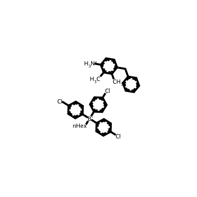 CCCCCC[B-](c1ccc(Cl)cc1)(c1ccc(Cl)cc1)c1ccc(Cl)cc1.Cc1c([NH3+])ccc(Cc2ccccc2)c1C